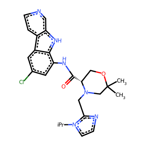 CC(C)n1ccnc1CN1CC(C)(C)OC[C@H]1C(=O)Nc1cc(Cl)cc2c1[nH]c1cnccc12